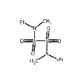 CCCN(C)S(=O)(=O)S(=O)(=O)N(C)CC